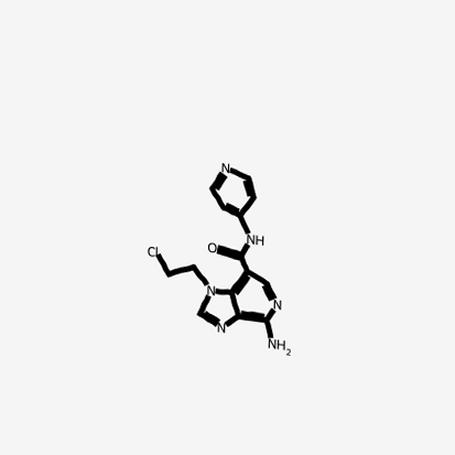 Nc1ncc(C(=O)Nc2ccncc2)c2c1ncn2CCCl